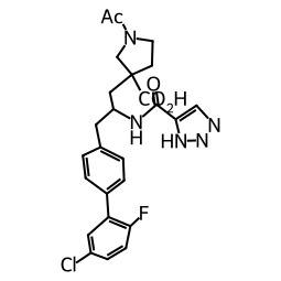 CC(=O)N1CCC(CC(Cc2ccc(-c3cc(Cl)ccc3F)cc2)NC(=O)c2cnn[nH]2)(C(=O)O)C1